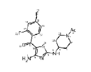 CC(=O)N1CCC(Nc2nc(N)c(C(=O)c3ccc(F)cc3F)s2)CC1